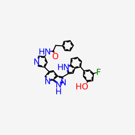 O=C(Cc1ccccc1)Nc1cncc(-c2cnc3[nH]nc(-c4cc5c(-c6cc(O)cc(F)c6)cccc5[nH]4)c3c2)c1